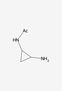 CC(=O)NC1CC1N